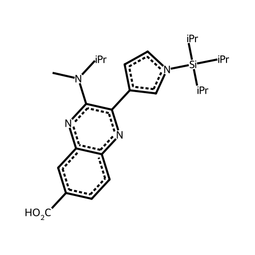 CC(C)N(C)c1nc2cc(C(=O)O)ccc2nc1-c1ccn([Si](C(C)C)(C(C)C)C(C)C)c1